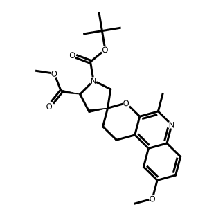 COC(=O)[C@@H]1C[C@@]2(CCc3c(c(C)nc4ccc(OC)cc34)O2)CN1C(=O)OC(C)(C)C